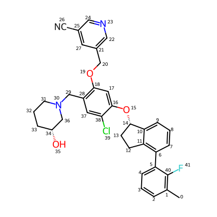 Cc1cccc(-c2cccc3c2CC[C@@H]3Oc2cc(OCc3cncc(C#N)c3)c(CN3CCC[C@@H](O)C3)cc2Cl)c1F